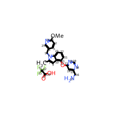 COc1ccc(Cn2c(C)cc3c(Oc4cc(CN)ncn4)cccc32)cn1.O=C(O)C(F)(F)F